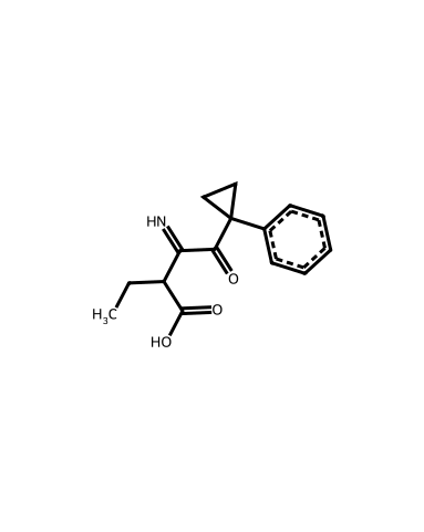 CCC(C(=N)C(=O)C1(c2ccccc2)CC1)C(=O)O